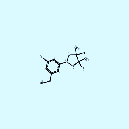 CC1(C)OB(c2cc(F)cc(CO)c2)OC1(C)C